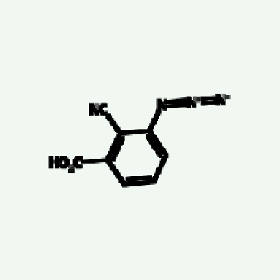 N#Cc1c(N=[N+]=[N-])cccc1C(=O)O